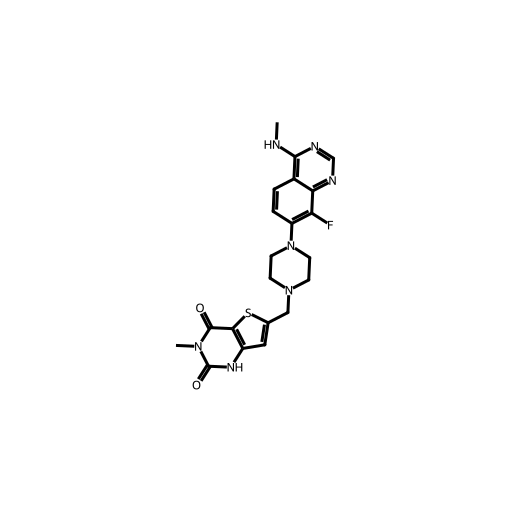 CNc1ncnc2c(F)c(N3CCN(Cc4cc5[nH]c(=O)n(C)c(=O)c5s4)CC3)ccc12